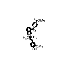 COC(=O)N1CCN(C(=O)c2cccc3c2CN(C(C)(C)CCc2ccc(O)c(OC)c2)C3)CC1